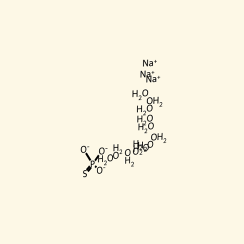 O.O.O.O.O.O.O.O.O.O.O.O.[Na+].[Na+].[Na+].[O-]P([O-])([O-])=S